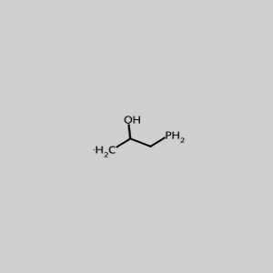 [CH2]C(O)CP